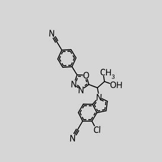 CC(O)C(c1nnc(-c2ccc(C#N)cc2)o1)n1ccc2c(Cl)c(C#N)ccc21